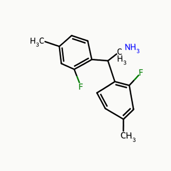 Cc1ccc(C(C)c2ccc(C)cc2F)c(F)c1.N